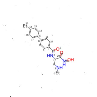 CCNCC(NC(=O)c1ccc(-c2ccc(CC)cc2)cc1)C(=O)NO